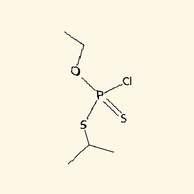 CCOP(=S)(Cl)SC(C)C